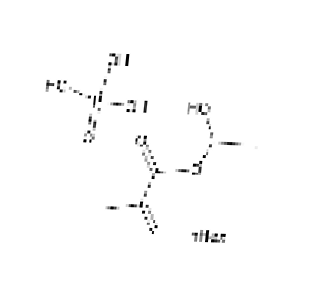 CCCCCCC=C(C)C(=O)OC(C)O.O=P(O)(O)O